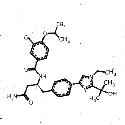 CCn1cc(-c2ccc(C[C@@H](CC(N)=O)NC(=O)c3ccc(OC(C)C)c(Cl)c3)cc2)nc1C(C)(C)O